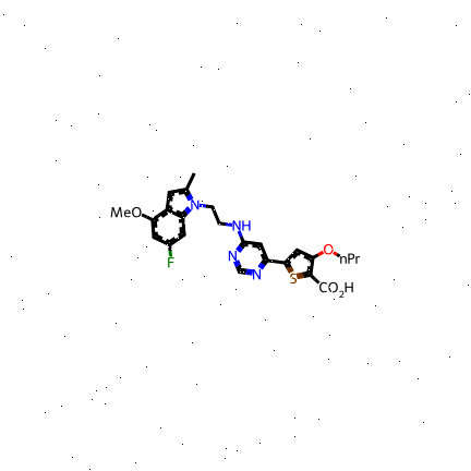 CCCOc1cc(-c2cc(NCCn3c(C)cc4c(OC)cc(F)cc43)ncn2)sc1C(=O)O